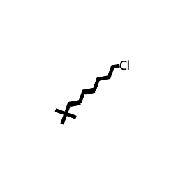 CC(C)(C)C=CC=CCCCCl